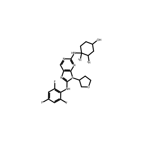 [2H]C1CC(O)CCC1([2H])Nc1ncc2nc(Nc3c(F)cc(F)cc3F)n(C3CCOC3)c2n1